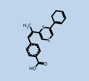 CC(=Cc1ccc(C(=O)O)cc1)C1=CSC=C(C2=CC=CCC2)S1